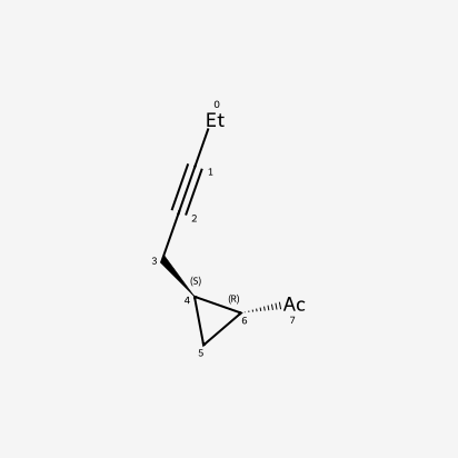 CCC#CC[C@@H]1C[C@H]1C(C)=O